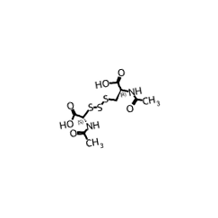 CC(=O)N[C@@H](CSSS[C@H](NC(C)=O)C(=O)O)C(=O)O